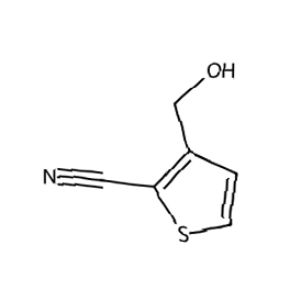 N#Cc1sccc1CO